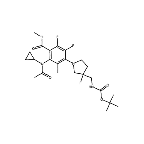 COC(=O)c1c(F)c(F)c(N2CCC(F)(CNC(=O)OC(C)(C)C)C2)c(C)c1N(C(C)=O)C1CC1